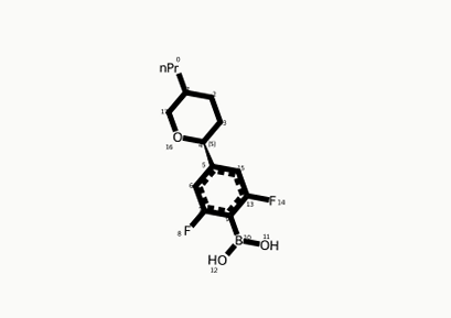 CCCC1CC[C@@H](c2cc(F)c(B(O)O)c(F)c2)OC1